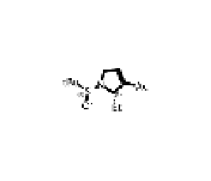 CC[C@H]1C(C(C)=O)=CCN1[S@@+]([O-])C(C)(C)C